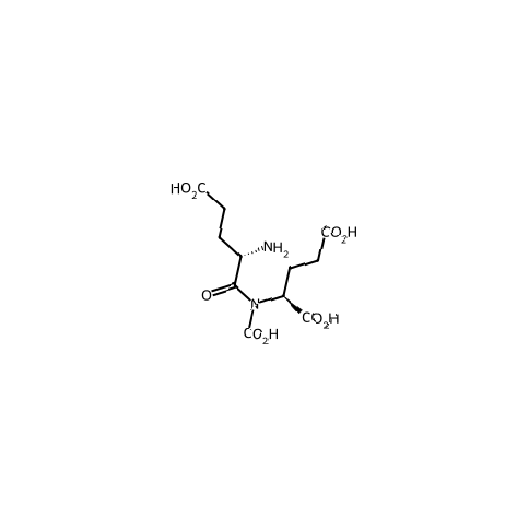 N[C@@H](CCC(=O)O)C(=O)N(C(=O)O)[C@@H](CCC(=O)O)C(=O)O